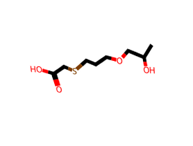 CC(O)COCCCSCC(=O)O